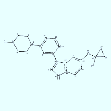 CC1CCN(c2cc(-c3n[nH]c4ccc(OC5(C)CC5)cc34)ncn2)CC1